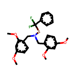 COc1ccc(CN(Cc2ccc(OC)cc2OC)SC(F)(F)c2ccccc2)c(OC)c1